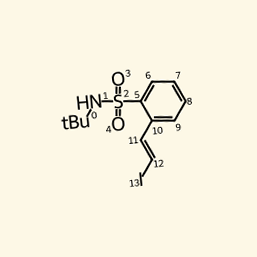 CC(C)(C)NS(=O)(=O)c1ccccc1C=CI